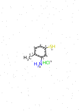 Cc1ccc(S)cc1N.Cl